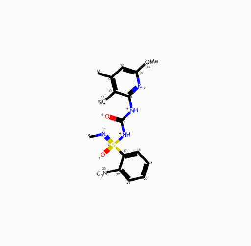 CN=S(=O)(NC(=O)Nc1nc(OC)cc(C)c1C#N)c1ccccc1[N+](=O)[O-]